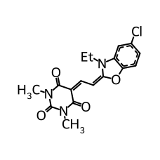 CCN1C(=CC=C2C(=O)N(C)C(=O)N(C)C2=O)Oc2ccc(Cl)cc21